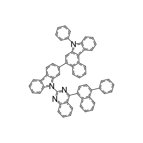 c1ccc(-c2ccc(-c3nc(-n4c5ccccc5c5ccc(-c6cc7c(c8ccccc68)c6ccccc6n7-c6ccccc6)cc54)nc4ccccc34)c3ccccc23)cc1